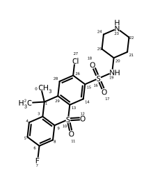 CC1(C)c2ccc(F)cc2S(=O)(=O)c2cc(S(=O)(=O)NC3CCNCC3)c(Cl)cc21